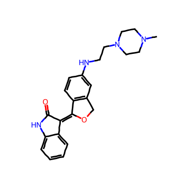 CN1CCN(CCNc2ccc3c(c2)CO/C3=C2/C(=O)Nc3ccccc32)CC1